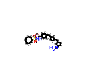 NC1CCC(CC2CCC(Cc3ccc(C(=O)NS(=O)(=O)C4CCCCCCC4)cc3)C2)C1